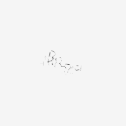 COc1cc(/C=C2\CCCN3C2=NOC32c3ccccc3N(C)C2O)ccc1-n1cnc(C)c1